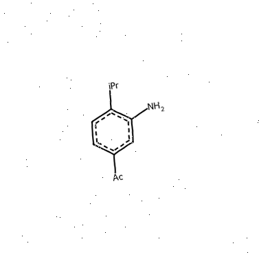 CC(=O)c1ccc(C(C)C)c(N)c1